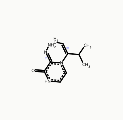 C/C=C(/C(C)C)n1cc[nH]c(=O)/c1=N/N